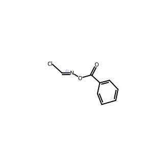 O=C(O/N=C/Cl)c1ccccc1